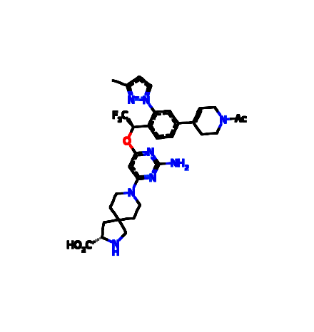 CC(=O)N1CC=C(c2ccc([C@@H](Oc3cc(N4CCC5(CC4)CN[C@H](C(=O)O)C5)nc(N)n3)C(F)(F)F)c(-n3ccc(C)n3)c2)CC1